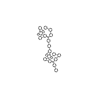 c1ccc(-c2ccc(N(c3ccc(-c4ccccc4-c4ccccc4)cc3)c3ccc4c(c3)C3(c5ccccc5-4)c4ccccc4-n4c5ccc(-c6ccc(-c7ccc(N(c8cccc(-c9cccc(-c%10ccccc%10)c9)c8)c8ccc9c(c8)-c8ccccc8C98c9ccccc9-n9c%10ccccc%10c%10cccc8c%109)cc7)cc6)cc5c5cccc3c54)cc2)cc1